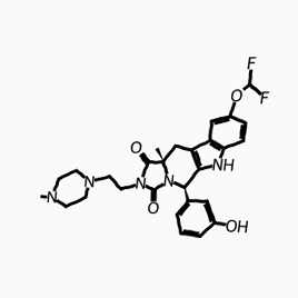 CN1CCN(CCN2C(=O)N3[C@H](c4cccc(O)c4)c4[nH]c5ccc(OC(F)F)cc5c4C[C@@]3(C)C2=O)CC1